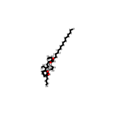 CCCCCCCCCCCCCCCCCCN1C=CN(CCCCCCC)C1(Cc1ccccc1)C(CC)c1ccccc1